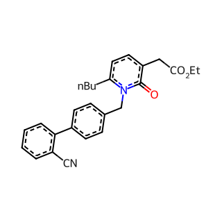 CCCCc1ccc(CC(=O)OCC)c(=O)n1Cc1ccc(-c2ccccc2C#N)cc1